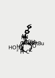 CC(C)(C)OC(=O)N[C@@H]1CCCCCCC[C@@H]2C[C@]2(C(=O)O)NC(=O)[C@@H]2C[C@H](n3nnc(-c4ccc(-c5ccsc5)cc4)n3)CN2[C@@H]1O